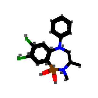 CC1CN(c2ccccc2)c2cc(F)c(Br)cc2S(=O)(=O)N1C